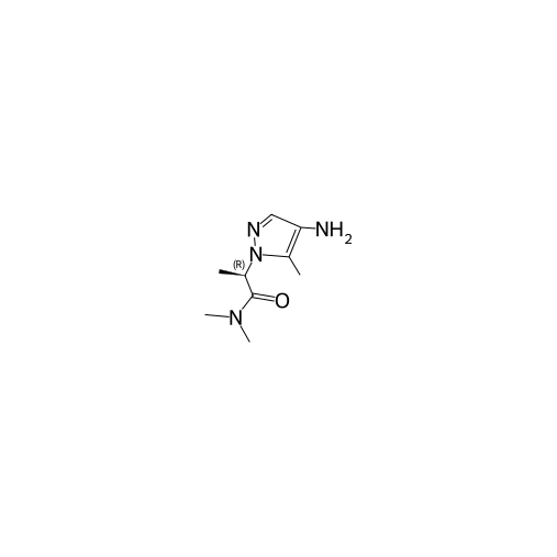 Cc1c(N)cnn1[C@H](C)C(=O)N(C)C